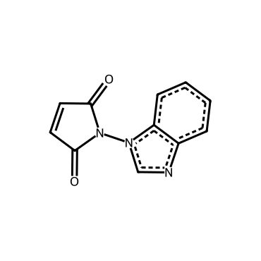 O=C1C=CC(=O)N1n1cnc2ccccc21